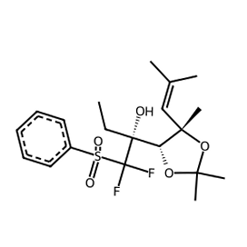 CC[C@@](O)([C@H]1OC(C)(C)O[C@@]1(C)C=C(C)C)C(F)(F)S(=O)(=O)c1ccccc1